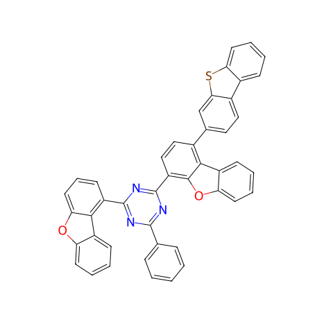 c1ccc(-c2nc(-c3ccc(-c4ccc5c(c4)sc4ccccc45)c4c3oc3ccccc34)nc(-c3cccc4oc5ccccc5c34)n2)cc1